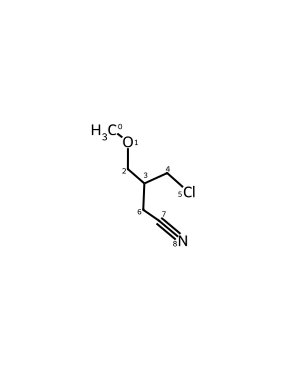 COCC(CCl)CC#N